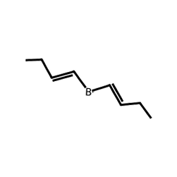 CCC=C[B]C=CCC